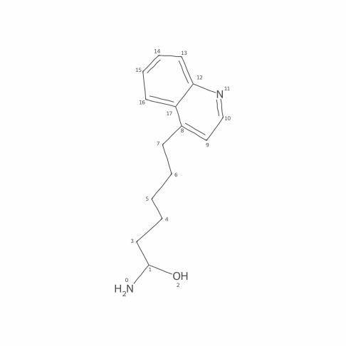 NC(O)CCCCCc1ccnc2ccccc12